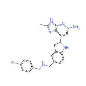 Cc1nc2c(C3Cc4cc(CNCc5ccc(Cl)cc5)ccc4N3)cc(N)nc2[nH]1